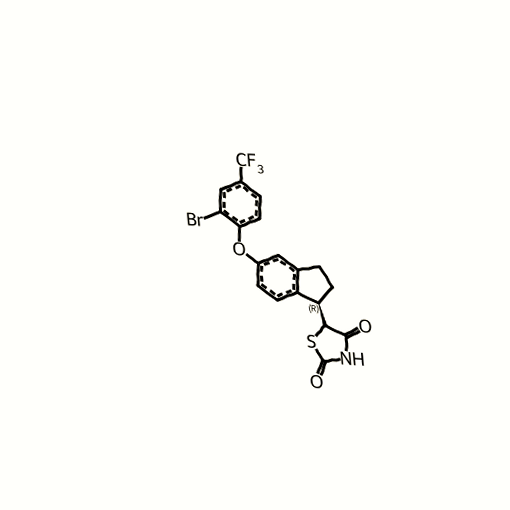 O=C1NC(=O)C([C@@H]2CCc3cc(Oc4ccc(C(F)(F)F)cc4Br)ccc32)S1